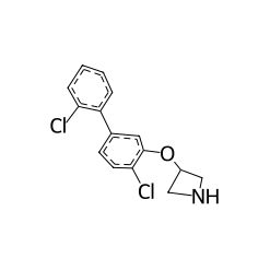 Clc1ccc(-c2ccccc2Cl)cc1OC1CNC1